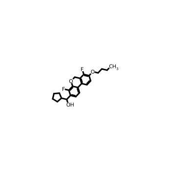 CCCCOc1ccc2c(c1F)COc1c-2ccc(C(O)C2CCCC2)c1F